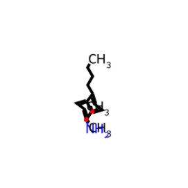 CCCCC1=C\C=C(C)\C(N)=C\C=C\1CCC